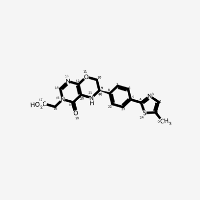 Cc1cnc(-c2ccc([C@@H]3COc4ncn(CC(=O)O)c(=O)c4N3)cc2)s1